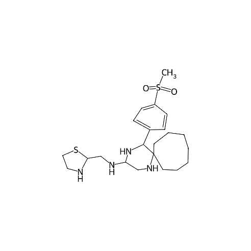 CS(=O)(=O)c1ccc(C2NC(NCC3NCCS3)CNC23CCCCCCC3)cc1